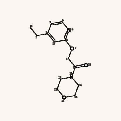 CCc1ccnc(OCC(=O)N2CCOCC2)c1